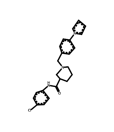 O=C(Nc1ccc(Cl)cc1)C1CCCN(Cc2ccc(-n3cccc3)cc2)C1